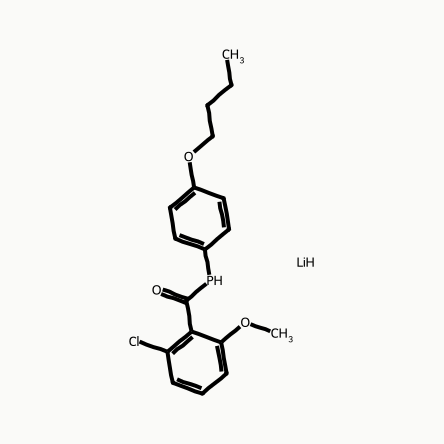 CCCCOc1ccc(PC(=O)c2c(Cl)cccc2OC)cc1.[LiH]